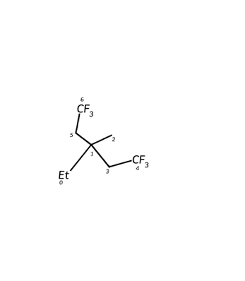 CCC(C)(CC(F)(F)F)CC(F)(F)F